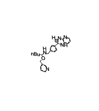 CCCCC(NCc1ccc(C(=O)Nc2cccnc2N)cc1)OCc1cccnc1